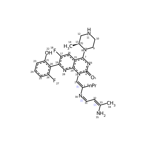 CCCC(=C\n1c(=O)nc(N2CCNC[C@@H]2C)c2cc(F)c(-c3c(O)cccc3F)nc21)/N=C\C=C(\C)N